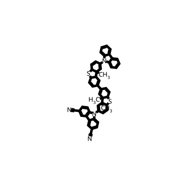 CC12C=C(n3c4ccccc4c4ccccc43)C=CC1SC1C=CC(C3=CC4(C)C(C=C3)SC3C=CC(n5c6ccc(C#N)cc6c6cc(C#N)ccc65)=CC34C)=CC12